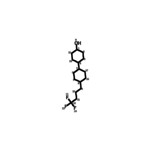 OC1CCC(C2CCC(CCCC(F)(F)F)CC2)CC1